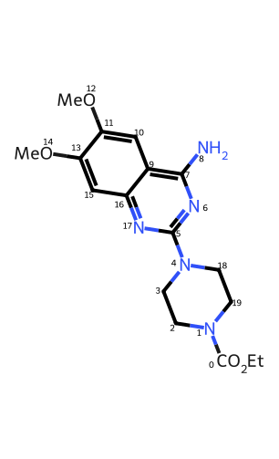 CCOC(=O)N1CCN(c2nc(N)c3cc(OC)c(OC)cc3n2)CC1